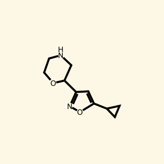 c1c(C2CNCCO2)noc1C1CC1